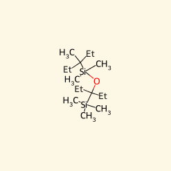 CCC(CC)(O[Si](C)(C)C(C)(CC)CC)[Si](C)(C)C